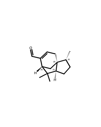 C[C@@H]1CC[C@H]2C(C)(C)[C@H]3C[C@@]12CC=C3C=O